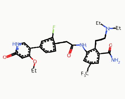 CCOc1cc(=O)[nH]cc1-c1ccc(CC(=O)Nc2cc(C(F)(F)F)cc(C(N)=O)c2CCN(CC)CC)c(F)c1